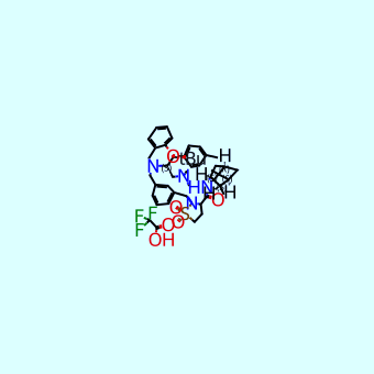 Cc1ccc(Oc2ccccc2CN(Cc2cccc(CN3C(C(=O)N[C@H]4C[C@H]5C[C@@H]([C@@H]4C)C5(C)C)CCS3(=O)=O)c2)[C@H](CN(C)C)CC(C)(C)C)cc1.O=C(O)C(F)(F)F